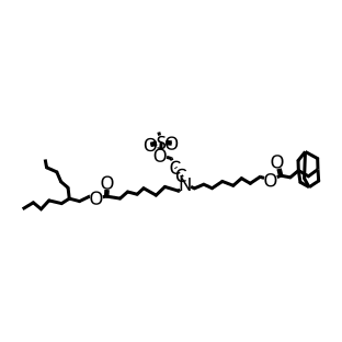 CCCCCC(CCCCC)CCOC(=O)CCCCCCCN(CCCCCCCCOC(=O)CC12CC3CC(CC(C3)C1)C2)CCCOS(C)(=O)=O